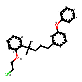 CC(C)(CCCc1cccc(Oc2ccccc2)c1)c1ccccc1OCCCl